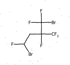 FC(Br)CC(F)(C(F)(F)F)C(F)(F)Br